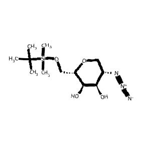 CC(C)(C)[Si](C)(C)OC[C@@H]1OC[C@H](N=[N+]=[N-])[C@@H](O)[C@H]1O